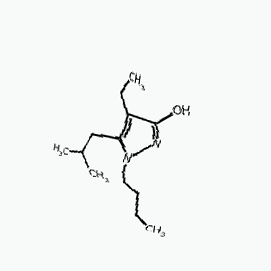 CCCCn1nc(O)c(CC)c1CC(C)C